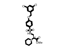 COC(=O)[C@H](CNS(=O)(=O)c1ccc(OCc2cc(Cl)cc(Cl)c2)cc1)N1CCCCC1